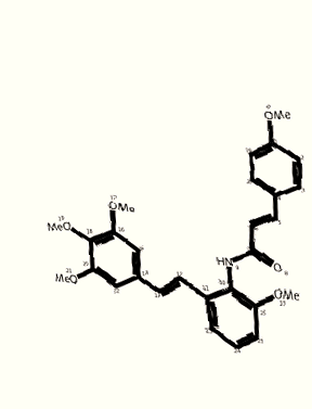 COc1ccc(/C=C/C(=O)Nc2c(/C=C/c3cc(OC)c(OC)c(OC)c3)cccc2OC)cc1